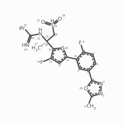 Cc1nnc(-c2ccc(F)c(-c3cc(F)c([C@](C)(C[SH](=O)=O)NC(=N)C(C)C)s3)c2)o1